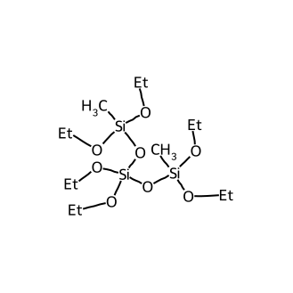 CCO[Si](C)(OCC)O[Si](OCC)(OCC)O[Si](C)(OCC)OCC